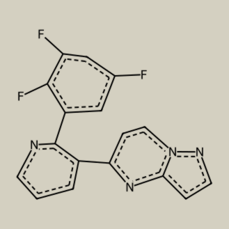 Fc1cc(F)c(F)c(-c2ncccc2-c2ccn3nccc3n2)c1